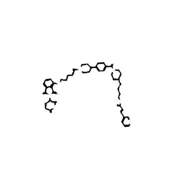 O=C(/C=C/c1cccnc1)NCCCCC1CCN(C(=O)c2ccc(C3CCN(C(=O)CCCCOc4cccc5c4C(=O)N(C4CCC(=O)NC4=O)C5=O)CC3)cc2)CC1